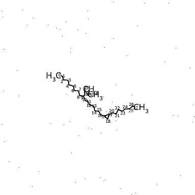 CCCCCCCCCC(CCCCCCCC1CC1CCCCCCCC)N(C)C